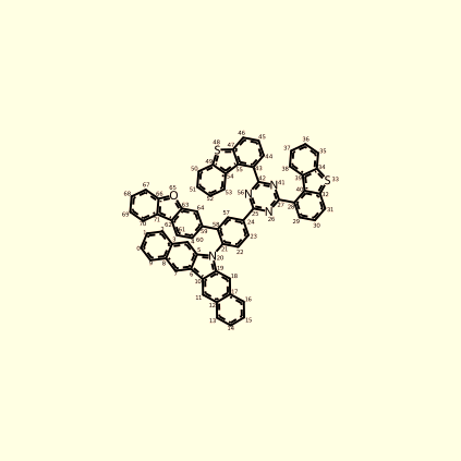 c1ccc2cc3c(cc2c1)c1cc2ccccc2cc1n3-c1ccc(-c2nc(-c3cccc4sc5ccccc5c34)nc(-c3cccc4sc5ccccc5c34)n2)cc1-c1ccc2c(c1)oc1ccccc12